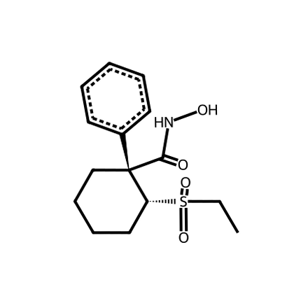 CCS(=O)(=O)[C@@H]1CCCC[C@@]1(C(=O)NO)c1ccccc1